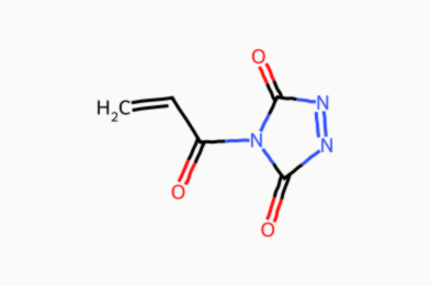 C=CC(=O)N1C(=O)N=NC1=O